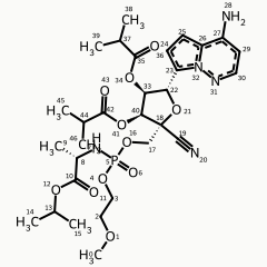 COCCOP(=O)(N[C@@H](C)C(=O)OC(C)C)OC[C@@]1(C#N)O[C@@H](c2ccc3c(N)ccnn23)[C@H](OC(=O)C(C)C)[C@@H]1OC(=O)C(C)C